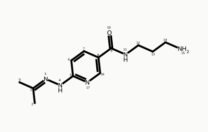 CC(C)=NNc1ccc(C(=O)NCCCN)cn1